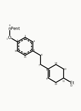 CCCCCOc1ccc(CCC2=CCC(CC)CC2)cc1